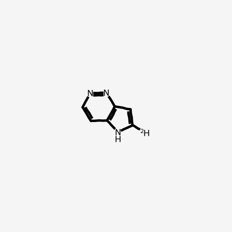 [2H]c1cc2nnccc2[nH]1